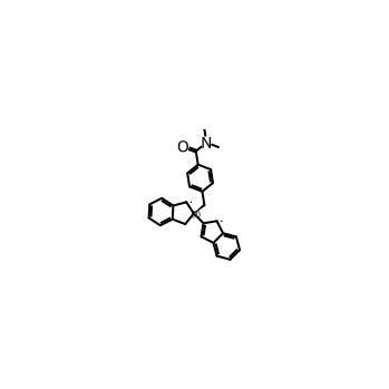 CN(C)C(=O)c1ccc(C[C@]2(C3=Cc4ccccc4[CH]3)[CH]c3ccccc3C2)cc1